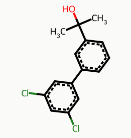 CC(C)(O)c1cccc(-c2cc(Cl)cc(Cl)c2)c1